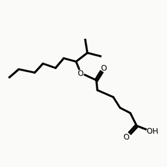 CCCCCCC(OC(=O)CCCCC(=O)O)C(C)C